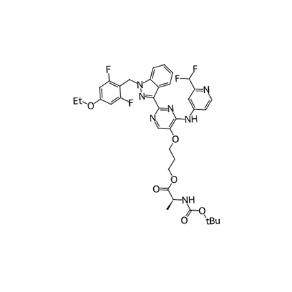 CCOc1cc(F)c(Cn2nc(-c3ncc(OCCCOC(=O)[C@H](C)NC(=O)OC(C)(C)C)c(Nc4ccnc(C(F)F)c4)n3)c3ccccc32)c(F)c1